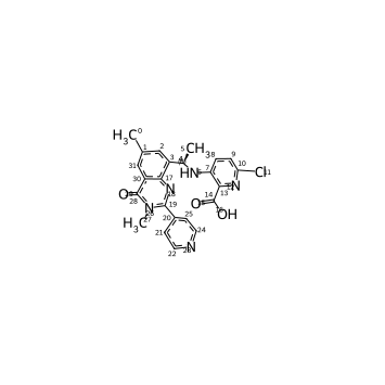 Cc1cc([C@@H](C)Nc2ccc(Cl)nc2C(=O)O)c2nc(-c3ccncc3)n(C)c(=O)c2c1